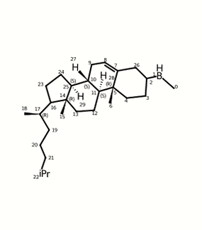 CBC1CC[C@@]2(C)C(=CC[C@@H]3[C@@H]2CC[C@]2(C)C([C@H](C)CCCC(C)C)CC[C@@H]32)C1